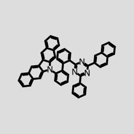 c1ccc(-c2nc(-c3ccc4ccccc4c3)nc(-c3ccccc3-c3ccccc3-n3c4cc5ccccc5cc4c4cc5ccccc5cc43)n2)cc1